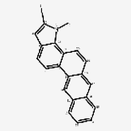 Cn1c(I)cc2ccc3c4cc5ccccc5cc4ccc3c21